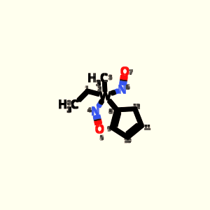 C[CH2][W]([CH3])([N]=O)([N]=O)[C]1=CC=CC1